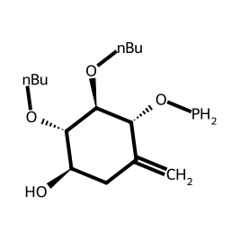 C=C1C[C@@H](O)[C@H](OCCCC)[C@@H](OCCCC)[C@@H]1OP